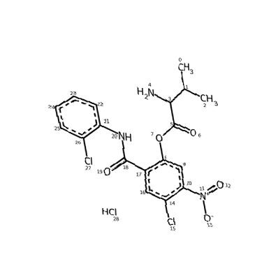 CC(C)C(N)C(=O)Oc1cc([N+](=O)[O-])c(Cl)cc1C(=O)Nc1ccccc1Cl.Cl